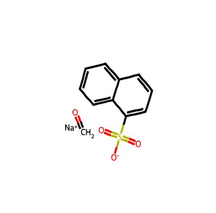 C=O.O=S(=O)([O-])c1cccc2ccccc12.[Na+]